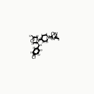 Cc1noc(N2CCC(N3C[C@H](C)OC[C@@H]3Cc3ccc(Cl)cc3)CC2)n1